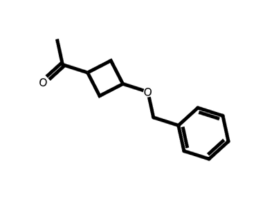 CC(=O)C1CC(OCc2ccccc2)C1